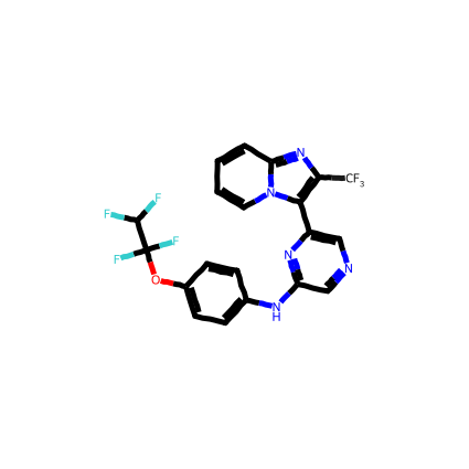 FC(F)C(F)(F)Oc1ccc(Nc2cncc(-c3c(C(F)(F)F)nc4ccccn34)n2)cc1